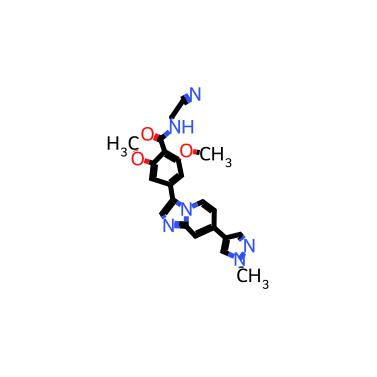 COc1cc(-c2cnc3cc(-c4cnn(C)c4)ccn23)cc(OC)c1C(=O)NCC#N